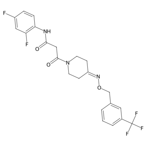 O=C(CC(=O)N1CCC(=NOCc2cccc(C(F)(F)F)c2)CC1)Nc1ccc(F)cc1F